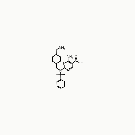 CC(C)(c1ccccc1)N(CC1CCC(CN)CC1)c1ncc([N+](=O)[O-])c(N)n1